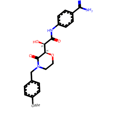 COc1ccc(CN2CCO[C@H]([C@@H](O)C(=O)Nc3ccc(C(=N)N)cc3)C2=O)cc1